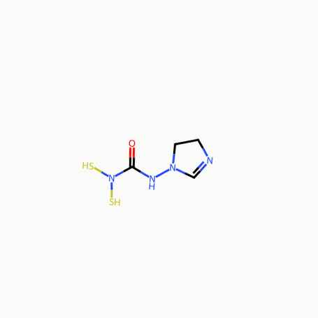 O=C(NN1C=NCC1)N(S)S